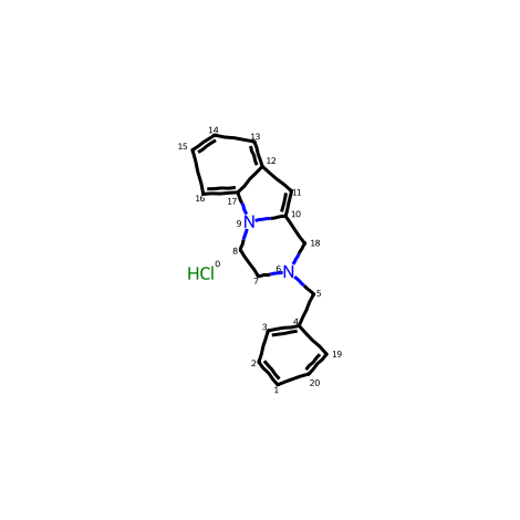 Cl.c1ccc(CN2CCn3c(cc4ccccc43)C2)cc1